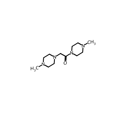 CN1CCN(CC(=O)N2CCN(C)CC2)CC1